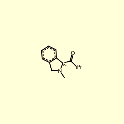 CC(C)C(=O)[C@@H]1c2ccccc2CN1C